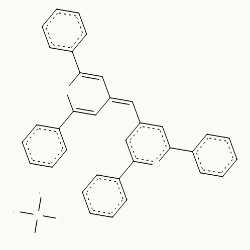 C(=C1C=C(c2ccccc2)OC(c2ccccc2)=C1)c1cc(-c2ccccc2)[se+]c(-c2ccccc2)c1.[O-][Cl+3]([O-])([O-])[O-]